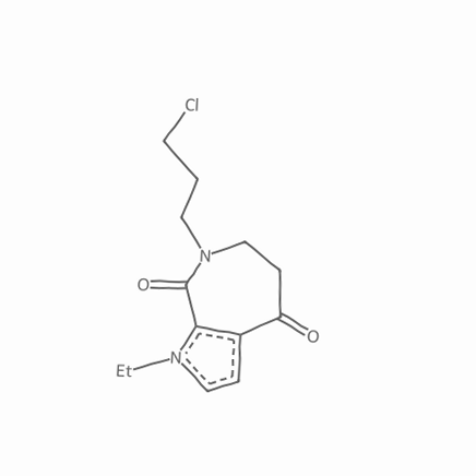 CCn1ccc2c1C(=O)N(CCCCl)CCC2=O